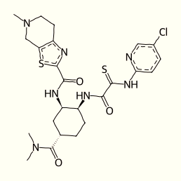 CN1CCc2nc(C(=O)N[C@@H]3C[C@@H](C(=O)N(C)C)CC[C@@H]3NC(=O)C(=S)Nc3ccc(Cl)cn3)sc2C1